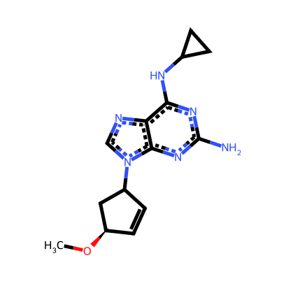 CO[C@@H]1C=CC(n2cnc3c(NC4CC4)nc(N)nc32)C1